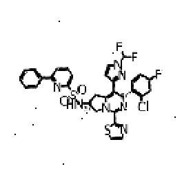 O=S(=O)(N[C@H]1CC2=C(c3ccn(C(F)F)n3)[C@H](c3ccc(F)cc3Cl)N=C(c3nccs3)N2C1)c1cccc(-c2ccccc2)n1